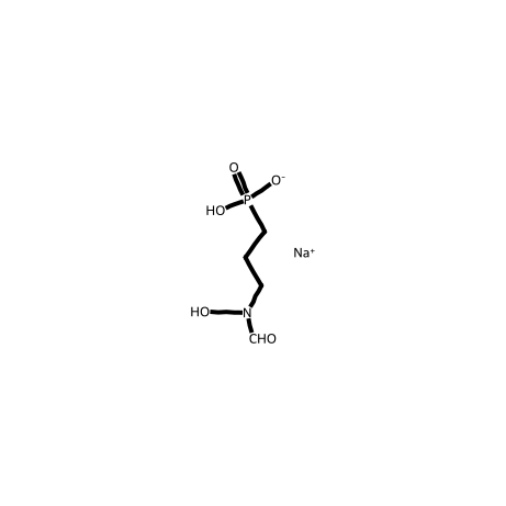 O=CN(O)CCCP(=O)([O-])O.[Na+]